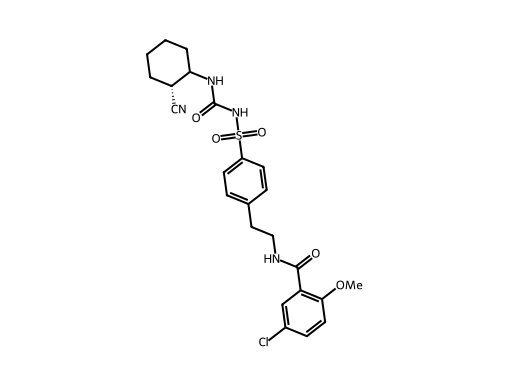 COc1ccc(Cl)cc1C(=O)NCCc1ccc(S(=O)(=O)NC(=O)NC2CCCC[C@H]2C#N)cc1